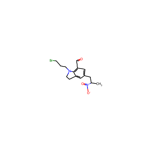 CC(Cc1cc(C=O)c2c(c1)CCN2CCCBr)[N+](=O)[O-]